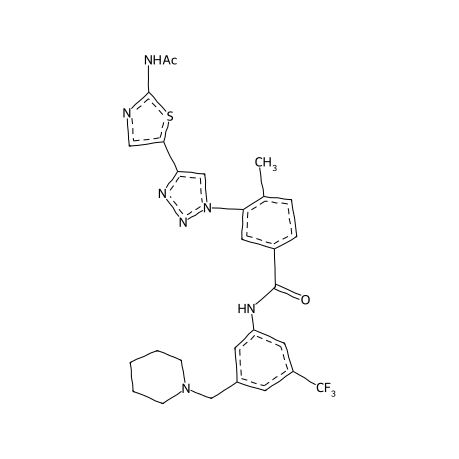 CC(=O)Nc1ncc(-c2cn(-c3cc(C(=O)Nc4cc(CN5CCCCC5)cc(C(F)(F)F)c4)ccc3C)nn2)s1